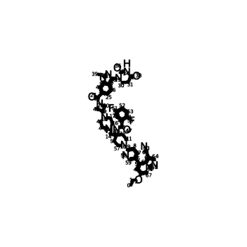 CCOc1cc(-c2ccc(N3CCC(CN4CCN(C5CN(C(=O)c6ccc7c(N8CCC(=O)NC8=O)nn(C)c7c6)C5)CC4)(NC(=O)c4cc(F)ccc4F)CC3)nc2)c2c(C#N)cnn2c1